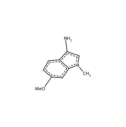 COc1ccc2c(N)cn(C)c2c1